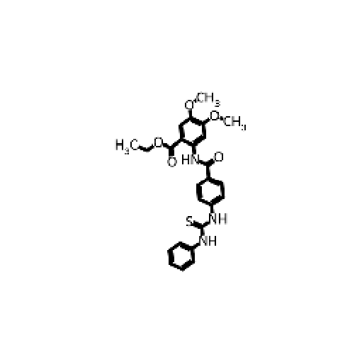 CCOC(=O)c1cc(OC)c(OC)cc1NC(=O)c1ccc(NC(=S)Nc2ccccc2)cc1